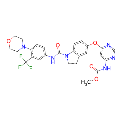 COC(=O)Nc1cc(Oc2ccc3c(c2)CCN3C(=O)Nc2ccc(N3CCOCC3)c(C(F)(F)F)c2)ncn1